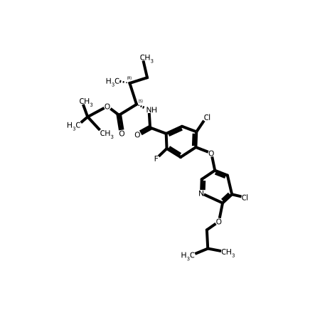 CC[C@@H](C)[C@H](NC(=O)c1cc(Cl)c(Oc2cnc(OCC(C)C)c(Cl)c2)cc1F)C(=O)OC(C)(C)C